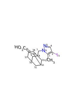 Cc1c(I)cnn1CC12CC3CC(C1)CC(C(=O)O)(C3)C2